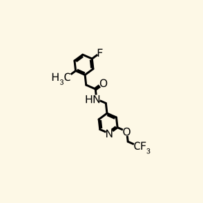 Cc1ccc(F)cc1CC(=O)NCc1ccnc(OCC(F)(F)F)c1